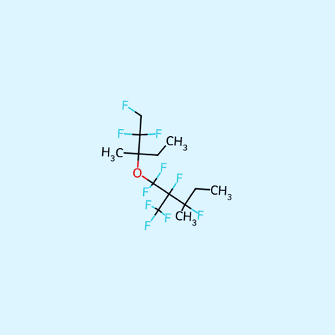 CCC(C)(F)C(F)(C(F)(F)F)C(F)(F)OC(C)(CC)C(F)(F)CF